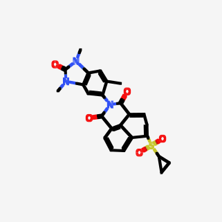 Cc1cc2c(cc1N1C(=O)c3cccc4c(S(=O)(=O)C5CC5)ccc(c34)C1=O)n(C)c(=O)n2C